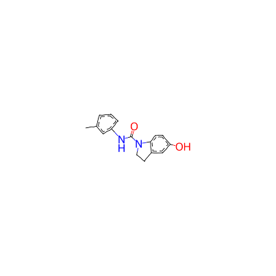 Cc1cccc(NC(=O)N2CCc3cc(O)ccc32)c1